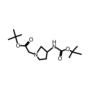 CC(C)(C)OC(=O)CN1CCC(NC(=O)OC(C)(C)C)C1